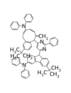 C=C1/C=C\C(N(c2ccccc2)c2ccccc2)=C/Cc2cc(C(C)(C)C)ccc2C1c1cc(C2c3ccc(N(c4ccccc4)c4ccccc4)cc3-c3cc(C(C)(C)C)ccc32)nc(-c2ccccc2)n1